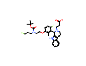 Cc1c(OCCN(CCCF)C(=O)OC(C)(C)C)ccc(F)c1C1c2[nH]c3ccccc3c2CCN1CCC(=O)O